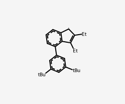 CCC1=C(CC)c2c(cccc2-c2cc(C(C)(C)C)cc(C(C)(C)C)c2)[CH]1